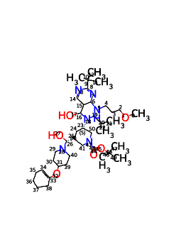 COCCCNC1N=C(C(C)(C)C)N=CC1C(O)N(CC(C)C)[C@H]1C[C@@H](C(O)N2CCC(OC3=CCCCC3)CC2)CN(C(=O)OC(C)(C)C)C1